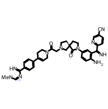 CN/C=N\C(=N)c1ccc(C2=CCN(C(=O)CN3CC[C@]4(CCN(c5ccc(N)c(C(=N)c6ccc(C#N)cn6)c5)C4=O)C3)CC2)cc1